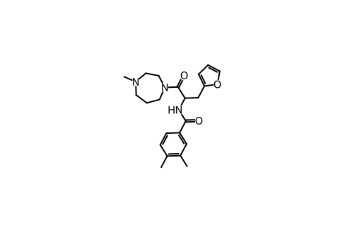 Cc1ccc(C(=O)NC(Cc2ccco2)C(=O)N2CCCN(C)CC2)cc1C